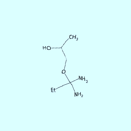 CCC(N)(N)OCC(C)O